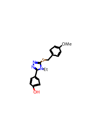 CCn1c(SCc2ccc(OC)cc2)nnc1-c1ccc(O)cc1